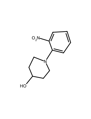 O=[N+]([O-])c1ccccc1N1CCC(O)CC1